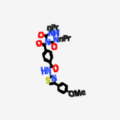 CCCNC(=O)N(C(=O)NCCC)C(=O)c1ccc(C(=O)Nc2nc(-c3ccc(OC)cc3)cs2)cc1